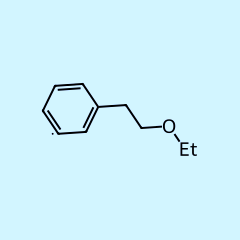 CCOCCc1c[c]ccc1